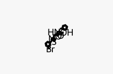 O=C(Cc1csc(-c2cccc(Br)c2)n1)N[C@H](Cc1ccccc1)C(=O)O